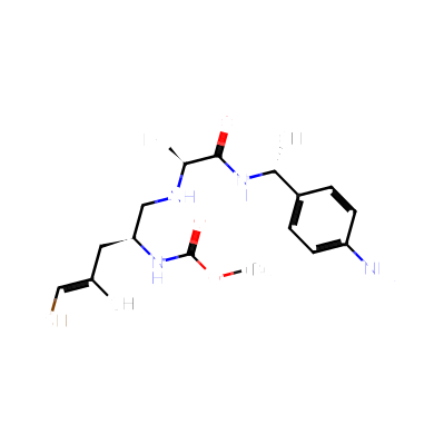 C/C(=C\S)C[C@@H](CN[C@@H](C)C(=O)N[C@H](C)c1ccc(N)cc1)NC(=O)OC(C)(C)C